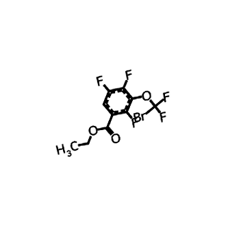 CCOC(=O)c1cc(F)c(F)c(OC(F)(F)Br)c1F